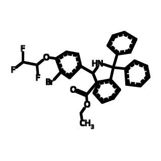 CCOC(=O)CC(NC(c1ccccc1)(c1ccccc1)c1ccccc1)c1ccc(OC(F)C(F)F)c(Br)c1